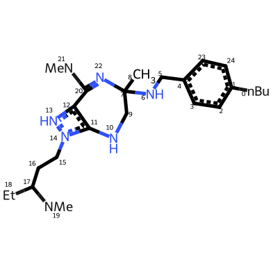 CCCCc1ccc(CNC2(C)CNc3c([nH]n3CCC(CC)NC)C(NC)=N2)cc1